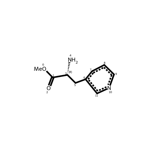 COC(=O)[C@H](N)Cc1cccnc1